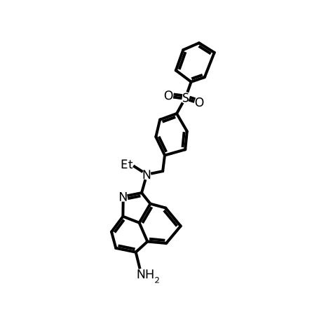 CCN(Cc1ccc(S(=O)(=O)c2ccccc2)cc1)C1=Nc2ccc(N)c3cccc1c23